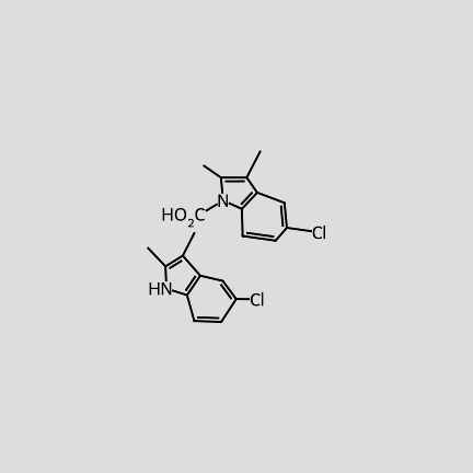 Cc1[nH]c2ccc(Cl)cc2c1C.Cc1c(C)n(C(=O)O)c2ccc(Cl)cc12